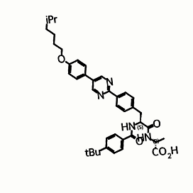 CC(C)CCCCOc1ccc(-c2cnc(-c3ccc(C[C@H](NC(=O)c4ccc(C(C)(C)C)cc4)C(=O)N[C@H](C)C(=O)O)cc3)nc2)cc1